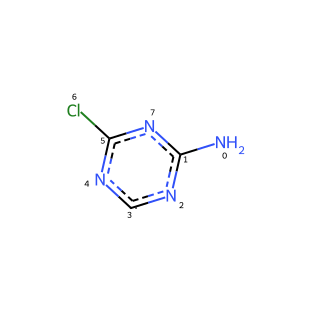 Nc1n[c]nc(Cl)n1